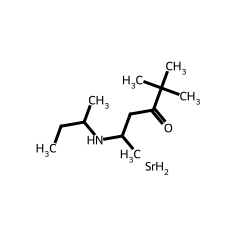 CCC(C)NC(C)CC(=O)C(C)(C)C.[SrH2]